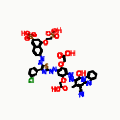 Cc1c(N=Nc2cc(OCC(=O)O)c(N=Nc3nc(-c4cccc(Cl)c4)c(N=Nc4ccc5cc(S(=O)(=O)O)cc(OCCS(=O)(=O)O)c5c4)s3)cc2OCC(=O)O)c(O)n2c(nc3ccccc32)c1C#N